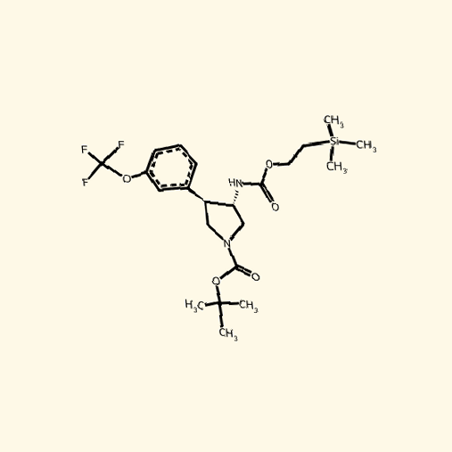 CC(C)(C)OC(=O)N1C[C@@H](NC(=O)OCC[Si](C)(C)C)[C@H](c2cccc(OC(F)(F)F)c2)C1